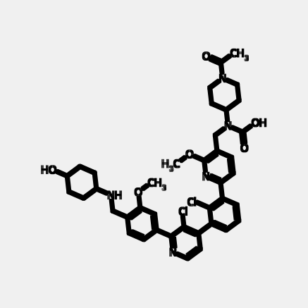 COc1cc(-c2nccc(-c3cccc(-c4ccc(CN(C(=O)O)C5CCN(C(C)=O)CC5)c(OC)n4)c3Cl)c2Cl)ccc1CNC1CCC(O)CC1